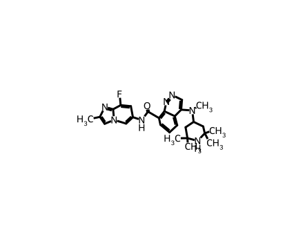 Cc1cn2cc(NC(=O)c3cccc4c(N(C)C5CC(C)(C)NC(C)(C)C5)cnnc34)cc(F)c2n1